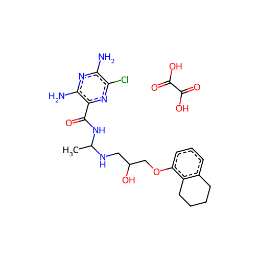 CC(NCC(O)COc1cccc2c1CCCC2)NC(=O)c1nc(Cl)c(N)nc1N.O=C(O)C(=O)O